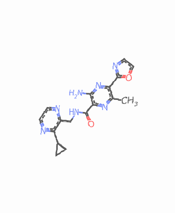 Cc1nc(C(=O)NCc2nccnc2C2CC2)c(N)nc1-c1ncco1